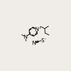 CCC(C)C[n+]1ccc(N(C)C)cc1.N#C[S-]